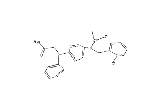 C[S+]([O-])N(Cc1ccccc1Cl)c1ccc(C(CC(N)=O)c2cccnc2)cc1